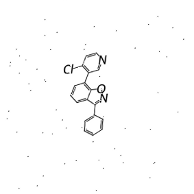 Clc1ccncc1-c1cccc2c(-c3ccccc3)noc12